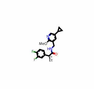 CC[C@H](C(=O)NCc1cc(C2CC2)cnc1OC)c1ccc(F)c(F)c1